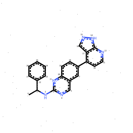 CC(Nc1ncc2cc(-c3ccnc4[nH]ncc34)ccc2n1)c1ccccc1